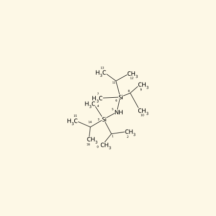 CC(C)[Si](C)(N[Si](C)(C(C)C)C(C)C)C(C)C